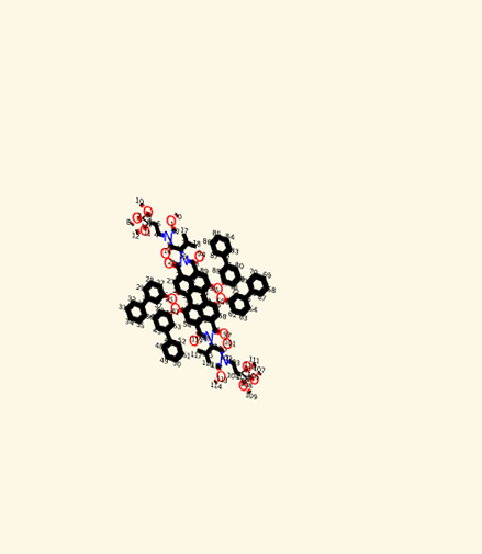 COCN(CC[Si](OC)(OC)OC)C(=O)C(C(C)C)N1C(=O)c2cc(Oc3cccc(-c4ccccc4)c3)c3c4c(Oc5cccc(-c6ccccc6)c5)cc5c6c(cc(Oc7cccc(-c8ccccc8)c7)c(c7c(Oc8cccc(-c9ccccc9)c8)cc(c2c37)C1=O)c64)C(=O)N(C(C(=O)N(CC[Si](OC)(OC)OC)COC)C(C)C)C5=O